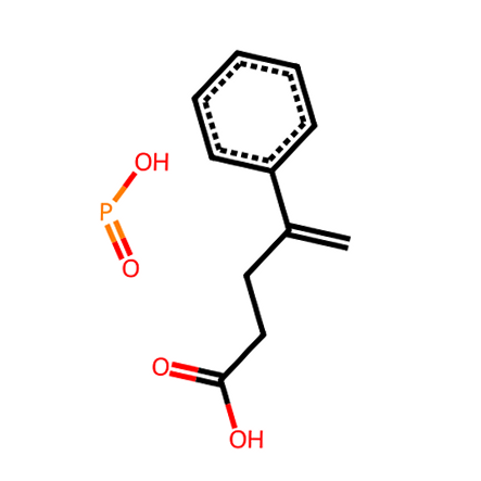 C=C(CCC(=O)O)c1ccccc1.O=PO